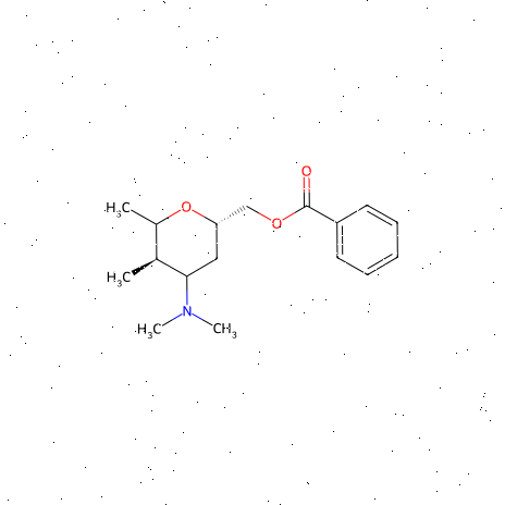 CC1O[C@H](COC(=O)c2ccccc2)CC(N(C)C)[C@H]1C